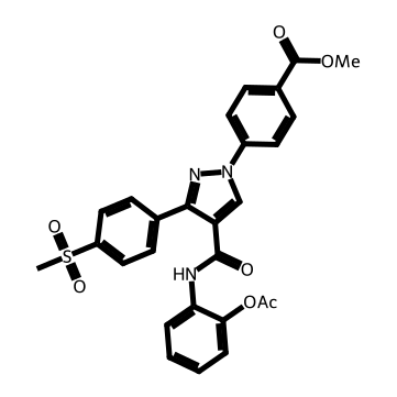 COC(=O)c1ccc(-n2cc(C(=O)Nc3ccccc3OC(C)=O)c(-c3ccc(S(C)(=O)=O)cc3)n2)cc1